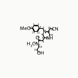 COc1ccc(CN2CC(CC(=O)N(C)CCO)NCC2CC#N)cc1